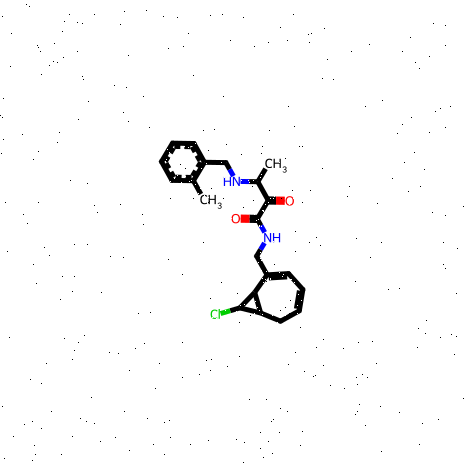 Cc1ccccc1CNC(C)C(=O)C(=O)NCC1=CC=CCC2C(Cl)C12